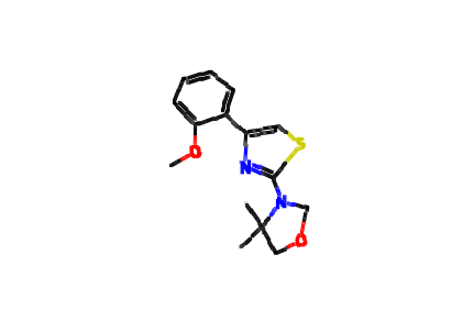 COc1ccccc1-c1csc(N2COCC2(C)C)n1